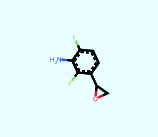 Nc1c(F)ccc(C2CO2)c1F